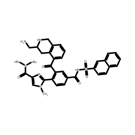 CCCCN(CCCC)C(=O)c1cn(C)c(-c2ccc(C(=O)NS(=O)(=O)c3ccc4ccccc4c3)cc2C(=O)c2cccc3c2CC(CN)NC3)n1